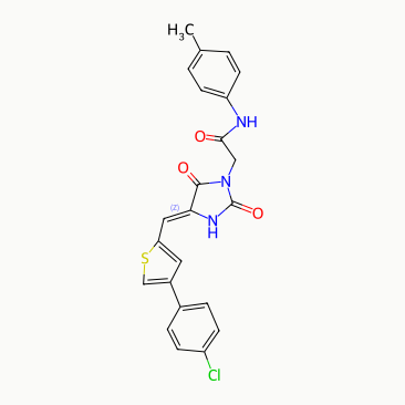 Cc1ccc(NC(=O)CN2C(=O)N/C(=C\c3cc(-c4ccc(Cl)cc4)cs3)C2=O)cc1